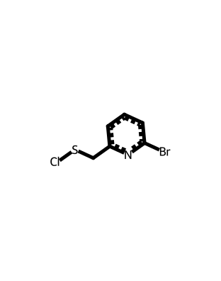 ClSCc1cccc(Br)n1